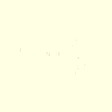 C[C@]1(CO)[C@H]2CCC3(CO3)[C@@H](/C=C/c3ccc(-c4cccc(F)c4)cn3)[C@]2(C)CC[C@H]1O